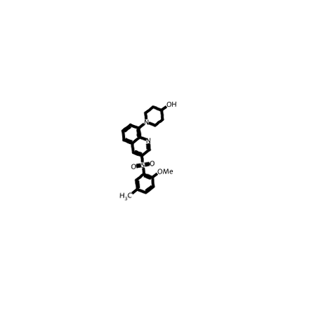 COc1ccc(C)cc1S(=O)(=O)c1cnc2c(N3CCC(O)CC3)cccc2c1